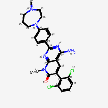 COn1c(=O)c(-c2c(Cl)cccc2Cl)cc2c(N)nc(-c3ccc(N4CCCN(C)CC4)cc3)nc21